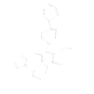 O=C(O)c1c(N2CCN(c3ccncc3)CC2)n(Cc2nccs2)c2ccccc2c1=O